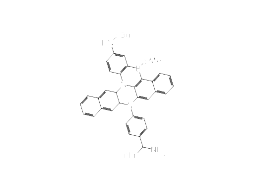 CCCCNc1ccc2c(c1)B(SC)c1c3c(cc4ccccc14)N(c1ccc(C(N)CCC)cc1)C1C=c4ccccc4=CC1N23